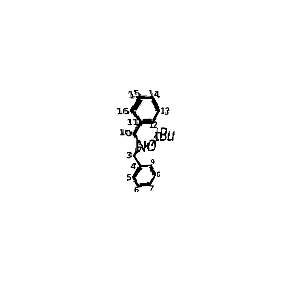 CC(C)(C)ON(Cc1ccccc1)Cc1ccccc1